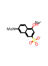 CNc1ccc2c(O)cc(S(=O)(=O)[O-])cc2c1.[Na+]